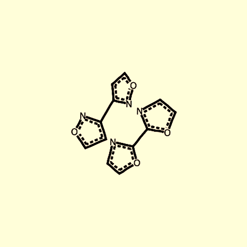 c1cc(-c2ccon2)no1.c1coc(-c2ncco2)n1